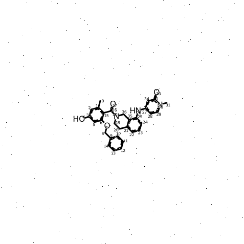 Cc1cc(O)cc(OCc2ccccc2)c1C(=O)N1CCc2cccc(Nc3ccn(C)c(=O)c3)c2C1